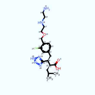 CC(C)C[C@H](C(=O)O)[C@H](Cc1ccc(COCCNCCN)c(F)c1)c1nn[nH]n1